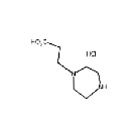 Cl.O=C(O)CCN1CCNCC1